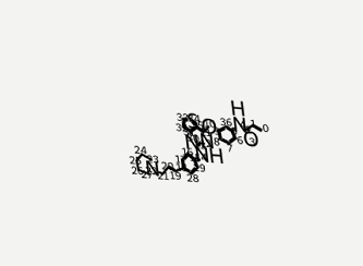 C=CC(=O)Nc1cccc(Oc2nc(Nc3ccc(C=CCN4CCCCC4)cc3)nc3ccsc23)c1